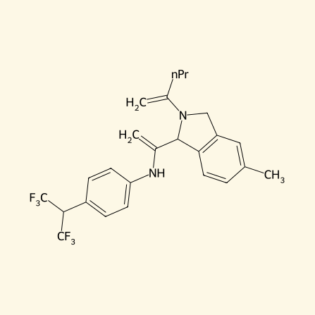 C=C(Nc1ccc(C(C(F)(F)F)C(F)(F)F)cc1)C1c2ccc(C)cc2CN1C(=C)CCC